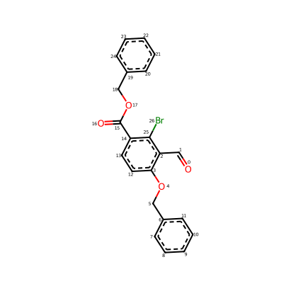 O=Cc1c(OCc2ccccc2)ccc(C(=O)OCc2ccccc2)c1Br